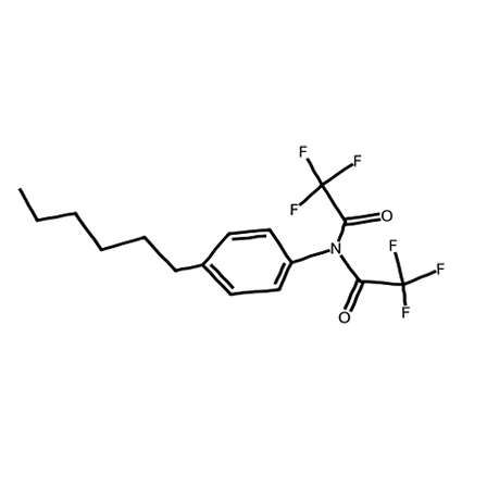 CCCCCCc1ccc(N(C(=O)C(F)(F)F)C(=O)C(F)(F)F)cc1